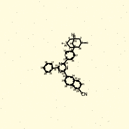 CC1C[C@H]2C[C@@H](C)CC(c3ccc(-c4nc(-c5ccccc5)nc(-c5ccc6cc(C#N)ccc6c5)n4)cc3)(C1)C2